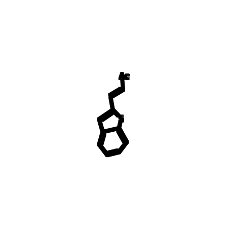 CC(=O)C=Cc1cc2ccccc2s1